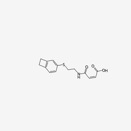 O=C(O)/C=C\C(=O)NCCSc1ccc2c(c1)CC2